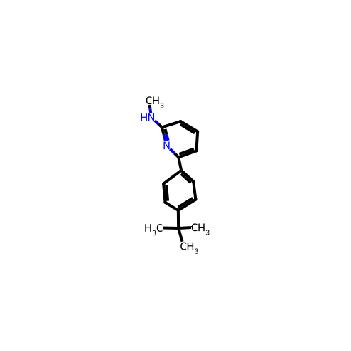 CNc1cccc(-c2ccc(C(C)(C)C)cc2)n1